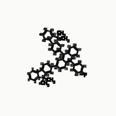 CC1(C)c2ccccc2-c2ccc(-c3ccc4c(-c5ccc(F)cc5)c5ccccc5c(-c5ccc6c(c5)C(C)(C)c5ccccc5-6)c4c3)cc21